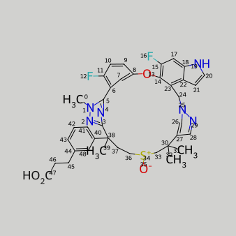 Cn1nc2nc1-c1cc(ccc1F)Oc1c(F)cc3[nH]ccc3c1Cn1cc(cn1)C(C)(C)C[S+]([O-])CCC2(C)c1cccc(CCC(=O)O)c1